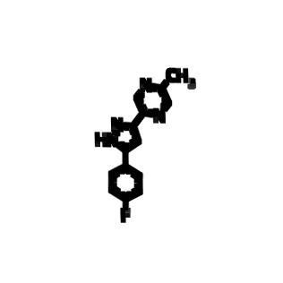 Cc1cnc(-c2cc(-c3ccc(F)cc3)[nH]n2)cn1